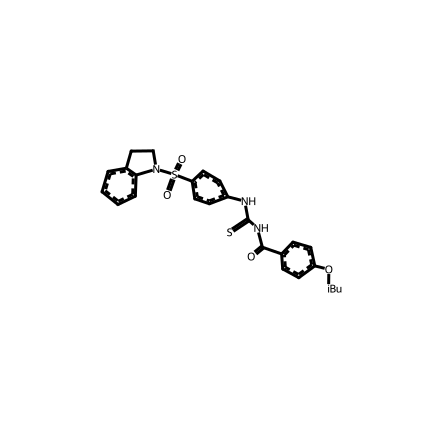 CCC(C)Oc1ccc(C(=O)NC(=S)Nc2ccc(S(=O)(=O)N3CCc4ccccc43)cc2)cc1